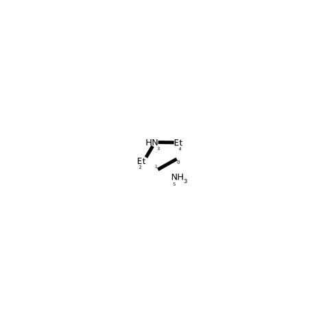 CC.CCNCC.N